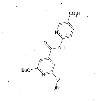 CC(C)COc1cc(C(=O)Nc2ccc(C(=O)O)cn2)cc(OC(C)C)n1